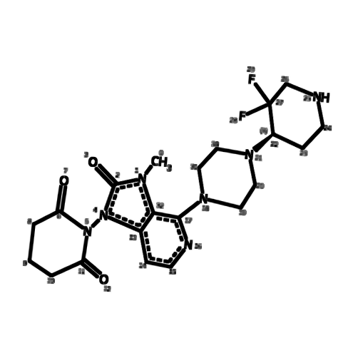 Cn1c(=O)n(N2C(=O)CCCC2=O)c2ccnc(N3CCN([C@@H]4CCNCC4(F)F)CC3)c21